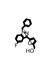 OCc1ccc(-c2nn(Cc3ccccc3)c3ccc(F)cc23)o1